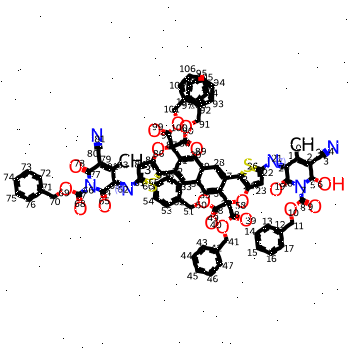 CC1=C(C#N)C(O)N(C(=O)OCc2ccccc2)C(=O)/C1=N\c1cc2c(s1)C1=CC3C=C4C(=CC3C=C1C(C(=O)OCc1ccccc1)(C(=O)OCc1ccccc1)O2)c1sc(/N=C2/C(=O)N(C(=O)OCc3ccccc3)C(=O)C(C#N)=C2C)cc1OC4(C(=O)OCc1ccccc1)C(=O)OCc1ccccc1